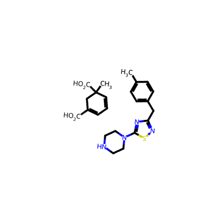 CC1(C(=O)O)C=CC=C(C(=O)O)C1.Cc1ccc(Cc2nsc(N3CCNCC3)n2)cc1